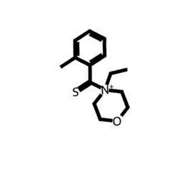 CC[N+]1(C(=S)c2ccccc2C)CCOCC1